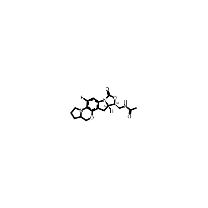 CC(=O)NC[C@@H]1OC(=O)N2c3cc(F)c4c(c3C[C@@H]12)OCC1CCCN41